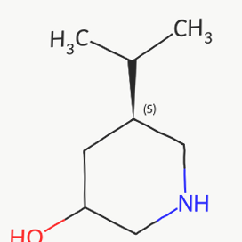 CC(C)[C@H]1CNCC(O)C1